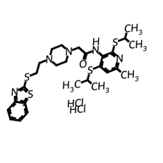 Cc1cc(SC(C)C)c(NC(=O)CN2CCN(CCSc3nc4ccccc4s3)CC2)c(SC(C)C)n1.Cl.Cl